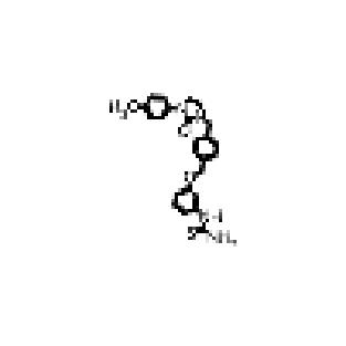 Cc1ccc(N2CCN(Cc3ccc(COc4cccc(NC(N)=S)c4)cc3)C2=O)cc1